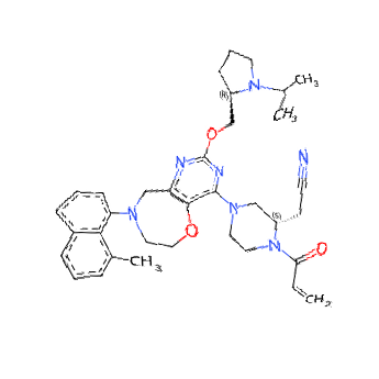 C=CC(=O)N1CCN(c2nc(OC[C@H]3CCCN3C(C)C)nc3c2OCCN(c2cccc4cccc(C)c24)C3)C[C@@H]1CC#N